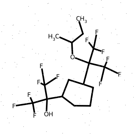 CCC(C)OC(C1CCCC(C(O)(C(F)(F)F)C(F)(F)F)C1)(C(F)(F)F)C(F)(F)F